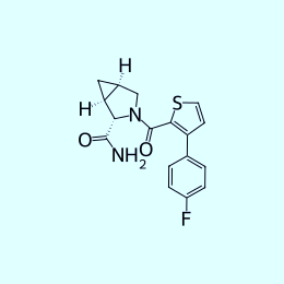 NC(=O)[C@@H]1[C@H]2C[C@H]2CN1C(=O)c1sccc1-c1ccc(F)cc1